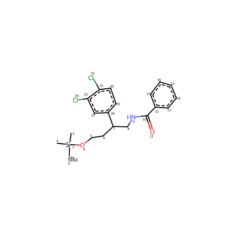 CC(C)(C)[Si](C)(C)OCCC(CNC(=O)c1ccccc1)c1ccc(Cl)c(Cl)c1